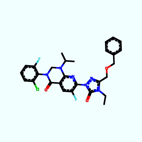 CCn1c(COCc2ccccc2)nn(-c2nc3c(cc2F)C(=O)N(c2c(F)cccc2Cl)CN3C(C)C)c1=O